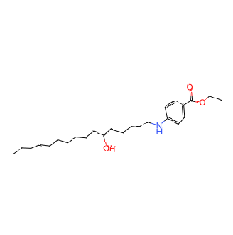 CCCCCCCCCCC(O)CCCCCNc1ccc(C(=O)OCC)cc1